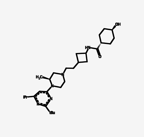 CC(C)c1cc(N2CCN(CCC3CC(NC(=O)[C@H]4CC[C@H](O)CC4)C3)C[C@@H]2C)nc(C(C)(C)C)n1